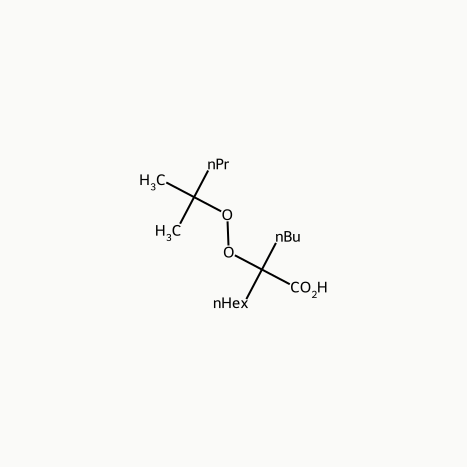 CCCCCCC(CCCC)(OOC(C)(C)CCC)C(=O)O